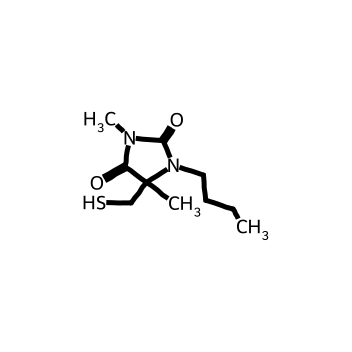 CCCCN1C(=O)N(C)C(=O)C1(C)CS